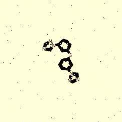 c1cc(Sc2cccc(-n3cncn3)c2)cc(-n2cncn2)c1